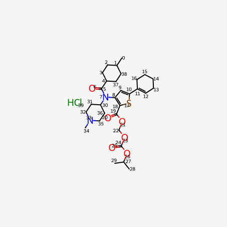 CC1CCC(C(=O)N(c2cc(C3=CCCCC3)sc2C(=O)OCOC(=O)OC(C)C)C2CCN(C)CC2)CC1.Cl